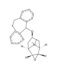 C[N+]1(C)[C@@H]2C[C@@H](OC3c4ccccc4CSc4ccccc43)C[C@H]1[C@@H]1O[C@@H]12